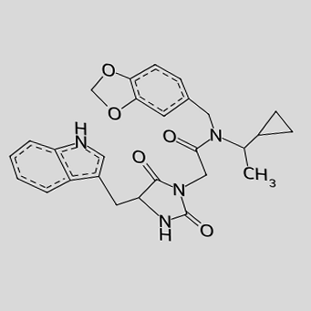 CC(C1CC1)N(Cc1ccc2c(c1)OCO2)C(=O)CN1C(=O)NC(Cc2c[nH]c3ccccc23)C1=O